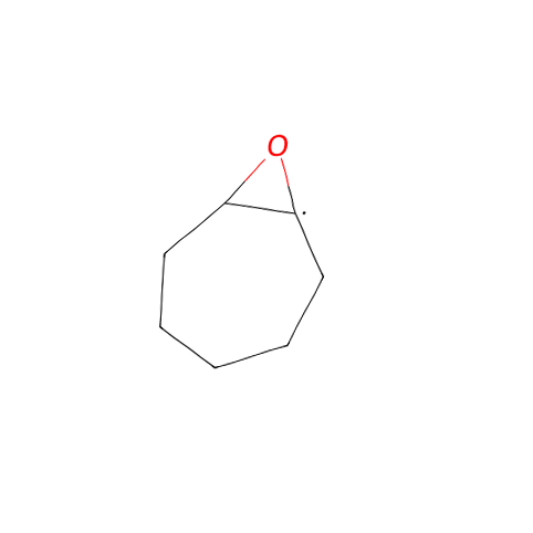 C1CC[C]2OC2CC1